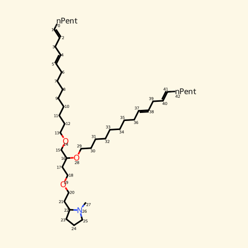 CCCCCC=CCC=CCCCCCCCCOCC(CCOCCC1CCCN1C)OCCCCCCCCC=CCC=CCCCCC